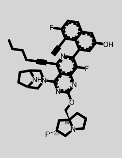 C#Cc1c(F)ccc2cc(O)cc(-c3nc(C#CCCCC)c4c(N5CC6CCC(C5)N6)nc(OC[C@@]56CCCN5C[C@H](F)C6)nc4c3F)c12